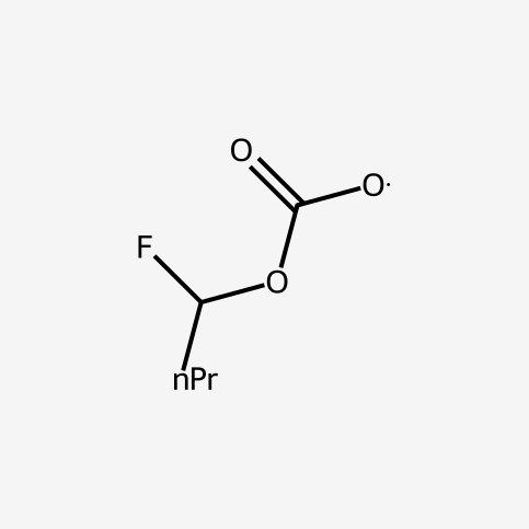 CCCC(F)OC([O])=O